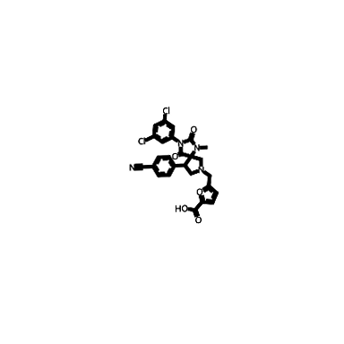 CN1C(=O)N(c2cc(Cl)cc(Cl)c2)C(=O)C12CN(Cc1ccc(C(=O)O)o1)CC2c1ccc(C#N)cc1